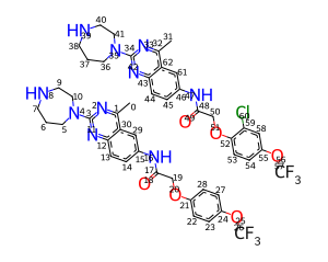 Cc1nc(N2CCCNCC2)nc2ccc(NC(=O)COc3ccc(OC(F)(F)F)cc3)cc12.Cc1nc(N2CCCNCC2)nc2ccc(NC(=O)COc3ccc(OC(F)(F)F)cc3Cl)cc12